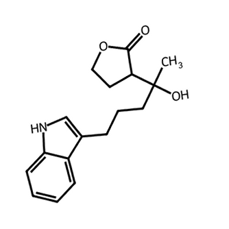 CC(O)(CCCc1c[nH]c2ccccc12)C1CCOC1=O